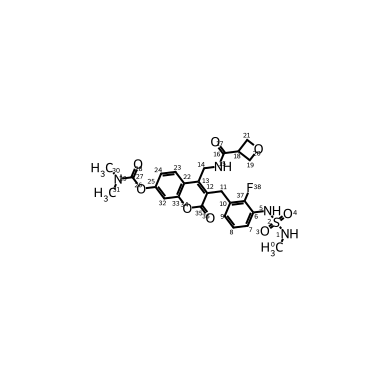 CNS(=O)(=O)Nc1cccc(Cc2c(CNC(=O)C3COC3)c3ccc(OC(=O)N(C)C)cc3oc2=O)c1F